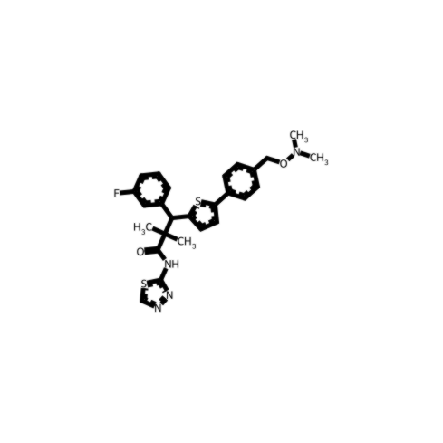 CN(C)OCc1ccc(-c2ccc(C(c3cccc(F)c3)C(C)(C)C(=O)Nc3nncs3)s2)cc1